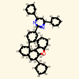 c1ccc(-c2cc(-c3ccccc3)nc(-c3ccc(-c4cccc5cc(-c6ccccc6)c6oc7ccccc7c6c45)cc3)n2)cc1